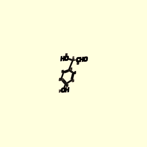 O=CC(O)c1ccc(O)cc1